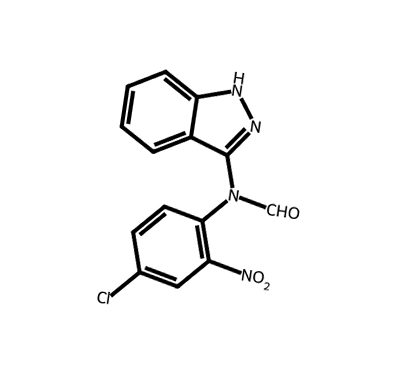 O=CN(c1ccc(Cl)cc1[N+](=O)[O-])c1n[nH]c2ccccc12